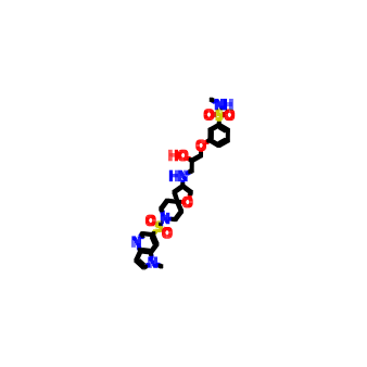 CNS(=O)(=O)c1cccc(OCC(O)CNC2COC3(CCN(S(=O)(=O)c4cnc5ccn(C)c5c4)CC3)C2)c1